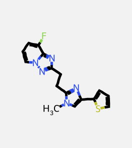 Cn1cc(-c2cccs2)nc1CCc1nc2c(F)cccn2n1